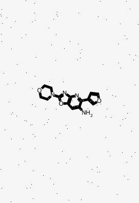 Nc1cc2oc(N3CCOCC3)nc2nc1-c1ccoc1